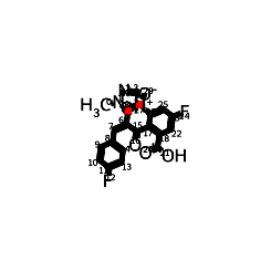 Cn1ncnc1C(=Cc1ccc(F)cc1)C(=O)c1c(C(=O)O)cc(F)cc1[N+](=O)[O-]